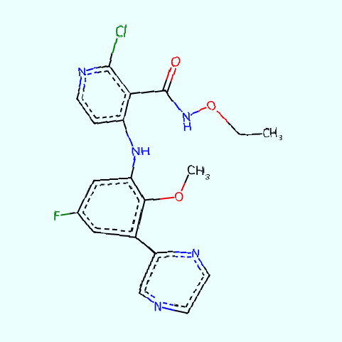 CCONC(=O)c1c(Nc2cc(F)cc(-c3cnccn3)c2OC)ccnc1Cl